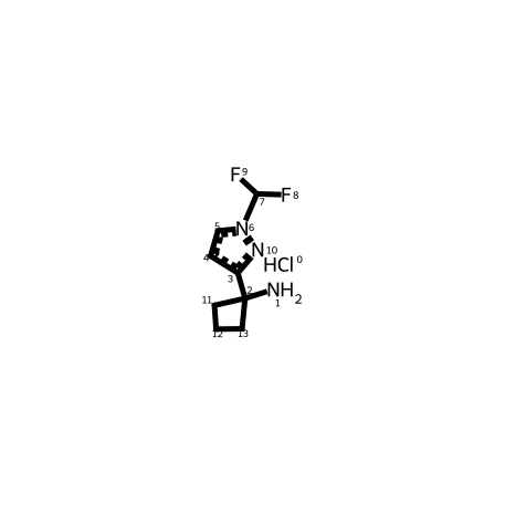 Cl.NC1(c2ccn(C(F)F)n2)CCC1